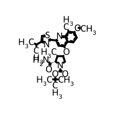 COc1ccc2c(O[C@H]3CN(C(=O)OC(C)(C)C)[C@H](C(N)=O)[C@@H]3C)cc(-c3nc(C(C)C)cs3)nc2c1C